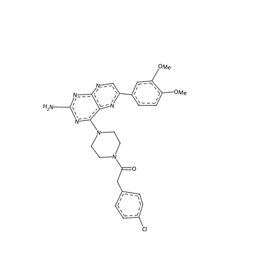 COc1ccc(-c2cnc3nc(N)nc(N4CCN(C(=O)Cc5ccc(Cl)cc5)CC4)c3n2)cc1OC